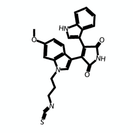 COc1ccc2c(C3=C(c4c[nH]c5ccccc45)C(=O)NC3=O)cn(CCCN=C=S)c2c1